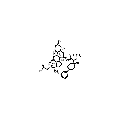 CCC(C(=O)O)C1(O)CCC(c2ccccc2)CC1.C[C@H](CCC(=O)O)[C@H]1CC[C@H]2[C@@H]3C(=O)C[C@@H]4CC(=O)CC[C@]4(C)[C@H]3CC(=O)[C@]12C